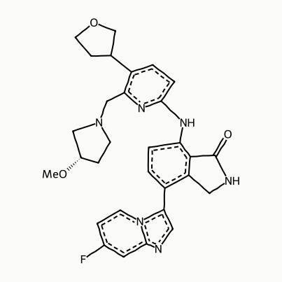 CO[C@H]1CCN(Cc2nc(Nc3ccc(-c4cnc5cc(F)ccn45)c4c3C(=O)NC4)ccc2C2CCOC2)C1